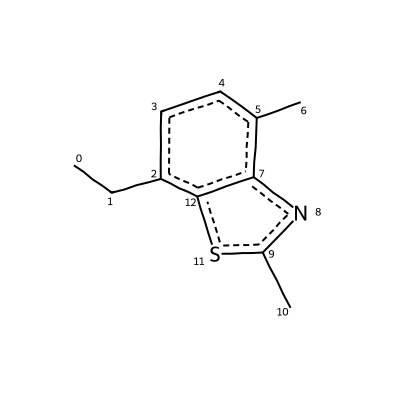 CCc1ccc(C)c2nc(C)sc12